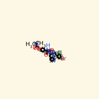 CN(C)C(=O)COc1ccc([C@H]2NC(=O)N(C(Cc3ccccc3)c3ncc(-c4ccc(Br)cc4Cl)[nH]3)C2=O)cc1